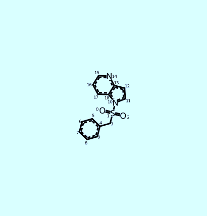 O=S(=O)(Cc1ccccc1)n1ccc2ncccc21